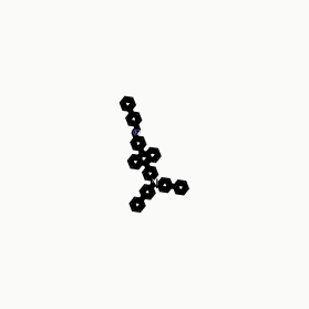 C(=C\c1ccc(-c2c3ccccc3c(-c3ccc(N(c4ccc(-c5ccccc5)cc4)c4ccc(-c5ccccc5)cc4)cc3)c3ccccc23)cc1)/c1ccc(-c2ccccc2)cc1